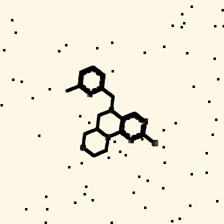 Cc1cccc(CN2CC3COCCN3c3nc(Cl)ncc32)n1